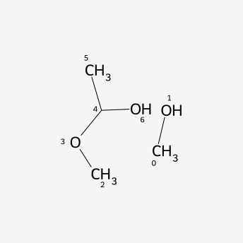 CO.COC(C)O